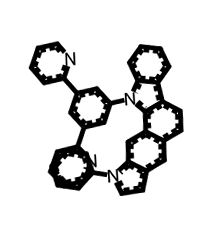 c1ccc(-n2ccc3cc4ccc5c6ccccc6n(-c6cc(-c7ccccn7)cc(-c7ccccn7)c6)c5c4cc32)cc1